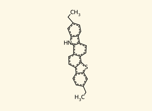 CCc1ccc2c(c1)[nH]c1c2ccc2c1ccc1c3ccc(CC)cc3sc12